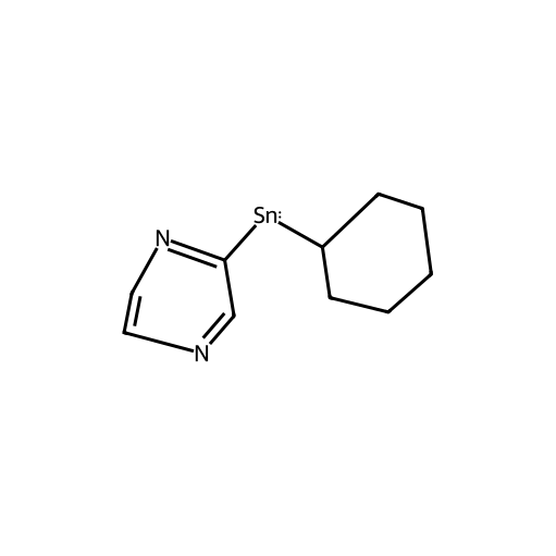 c1cn[c]([Sn][CH]2CCCCC2)cn1